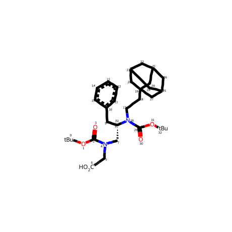 CC(C)(C)OC(=O)N(CC(=O)O)C[C@H](Cc1ccccc1)N(CCC12CC3CC(CC(C3)C1)C2)C(=O)OC(C)(C)C